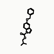 CC(C)COC(=O)n1ccc2cc(OCc3ccccc3)ccc21